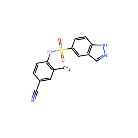 Cc1cc(C#N)ccc1NS(=O)(=O)c1ccc2[nH]ncc2c1